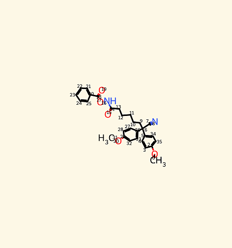 COc1ccc(C(C#N)(CCCCCC(=O)NOC(=O)c2ccccc2)c2ccc(OC)cc2)cc1